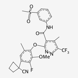 COc1c(F)c(C2(C#N)CCC2)cc(C)c1Oc1nnc(C(F)(F)F)c(C)c1C(=O)Nc1cccc(S(C)(=O)=O)c1